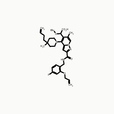 C=CCCC1(C)CCN(c2c(C(OC(C)(C)C)C(=O)O)c(C)cn3nc(C(=O)NCc4ccc(F)cc4OCC=C)cc23)CC1